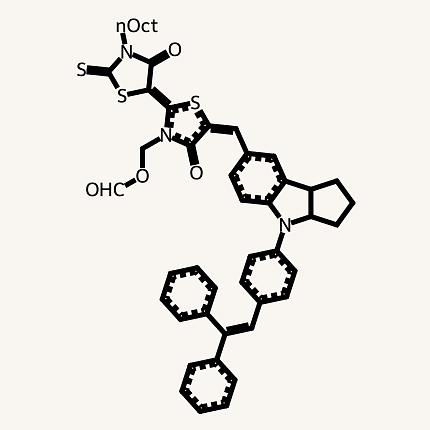 CCCCCCCCN1C(=O)/C(=c2\s/c(=C/c3ccc4c(c3)C3CCCC3N4c3ccc(C=C(c4ccccc4)c4ccccc4)cc3)c(=O)n2COC=O)SC1=S